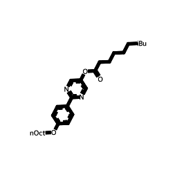 CCCCCCCCOc1ccc(-c2ncc(OC(=O)CCCCCC(C)CC)cn2)cc1